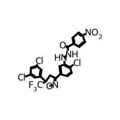 O=C(NNc1cc(C2=NOC(c3cc(Cl)cc(Cl)c3)(C(F)(F)F)C2)ccc1Cl)c1ccc([N+](=O)[O-])cc1